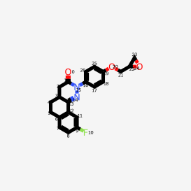 O=C1CC2CCc3ccc(F)cc3C2=NN1c1ccc(OCC2CO2)cc1